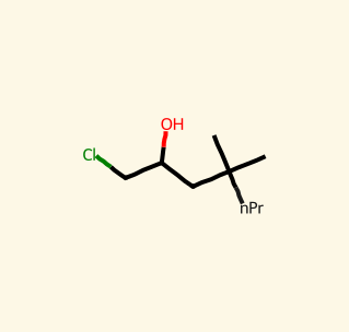 CCCC(C)(C)CC(O)CCl